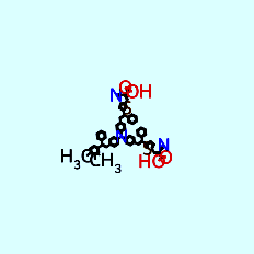 Cc1ccc(/C(=C/c2ccc(N(c3ccc(/C=C(\c4ccccc4)c4ccc(/C=C(\C#N)C(=O)O)s4)cc3)c3ccc(/C=C(\c4ccccc4)c4ccc(/C=C(\C#N)C(=O)O)s4)cc3)cc2)c2ccccc2)cc1C